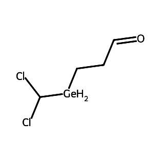 O=CC[CH2][GeH2][CH](Cl)Cl